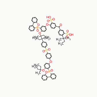 CCC(C)(CC)Oc1ccc(Oc2ccc(S(=O)(=O)c3ccc(C(C)(CC)C(C)(CC)Oc4ccc(Oc5ccc(C(=O)c6ccc(C(C)(C)CC)c(S(=O)(=O)O)c6)cc5S(=O)(=O)O)cc4P4(=O)Oc5ccccc5-c5ccccc54)cc3)cc2)cc1P1(=O)Oc2ccccc2-c2ccccc21